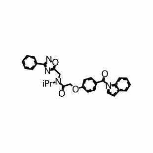 CC(C)N(Cc1nc(-c2ccccc2)no1)C(=O)COc1ccc(C(=O)n2ccc3ccccc32)cc1